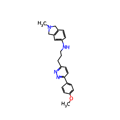 COc1ccc(-c2ccc(CCCNc3ccc4c(c3)CN(C)C4)nn2)cc1